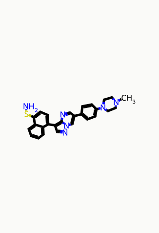 CN1CCN(c2ccc(-c3cnc4c(-c5ccc(SN)c6ccccc56)cnn4c3)cc2)CC1